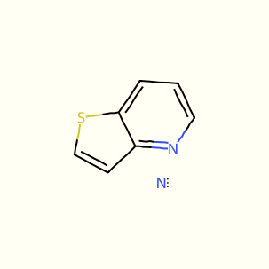 [N].c1cnc2ccsc2c1